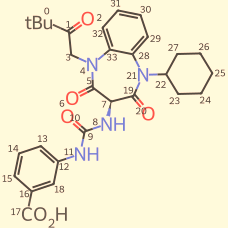 CC(C)(C)C(=O)CN1C(=O)[C@H](NC(=O)Nc2cccc(C(=O)O)c2)C(=O)N(C2CCCCC2)c2ccccc21